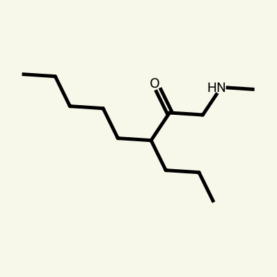 CCCCCC(CCC)C(=O)CNC